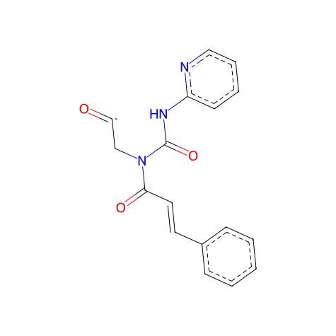 O=[C]CN(C(=O)C=Cc1ccccc1)C(=O)Nc1ccccn1